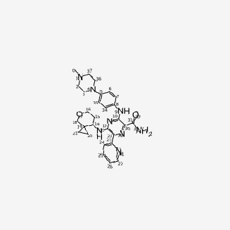 CN1CCN(c2ccc(Nc3nc(NC4CCOCC45CC5)c(-c4ccccn4)nc3C(N)=O)cc2)CC1